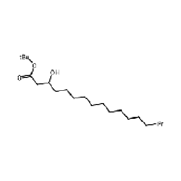 CC(C)CCCCCCCCCCCC(O)CC(=O)OC(C)(C)C